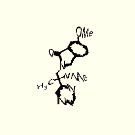 CN[C@@](C)(CN1Cc2ccc(OC)cc2C1=O)c1cnccn1